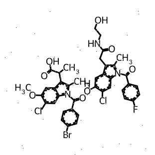 COc1cc2c(C(C)C(=O)O)c(C)n(C(=O)c3ccc(Br)cc3)c2cc1Cl.Cc1c(CC(=O)NCCO)c2cc(O)c(Cl)cc2n1C(=O)c1ccc(F)cc1